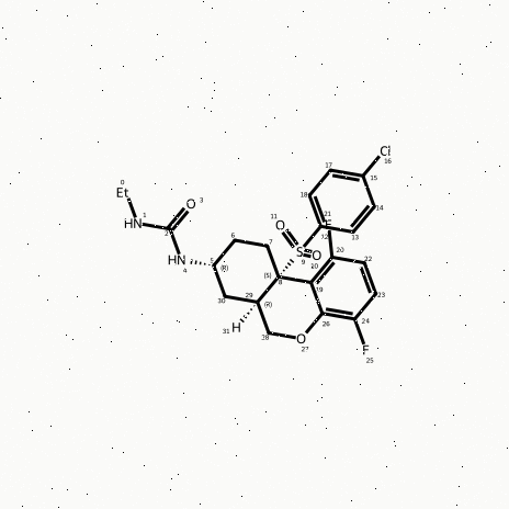 CCNC(=O)N[C@@H]1CC[C@@]2(S(=O)(=O)c3ccc(Cl)cc3)c3c(F)ccc(F)c3OC[C@H]2C1